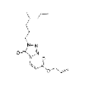 C=CCOC(=O)/C=C\n1nnn(CCCC(C)CC=C)c1=O